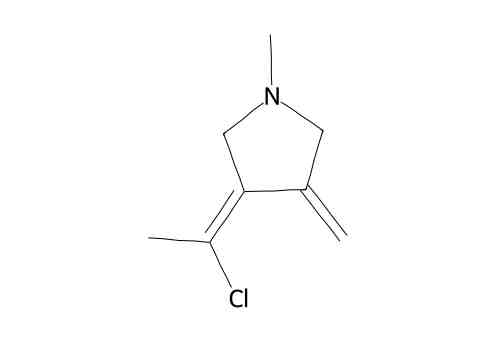 C=C1CN(C)CC1=C(C)Cl